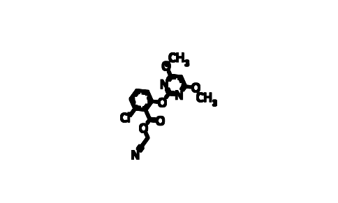 COc1cc(OC)nc(Oc2cccc(Cl)c2C(=O)OCC#N)n1